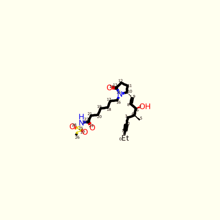 CCC#CC[C@H](C)[C@H](O)/C=C/[C@H]1CCC(=O)N1CCCCCCC(=O)NS(C)(=O)=O